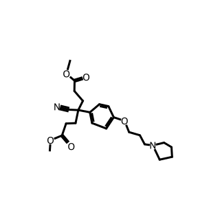 COC(=O)CCC(C#N)(CCC(=O)OC)c1ccc(OCCCN2CCCC2)cc1